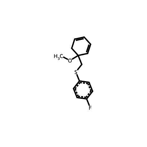 COC1(CSc2ccc(F)cc2)C=CC=CC1